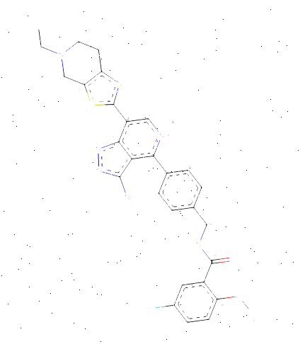 CCN1CCc2nc(-c3cnc(-c4ccc(CNC(=O)c5cc(F)ccc5OC)cc4)c4c(N)n[nH]c34)sc2C1